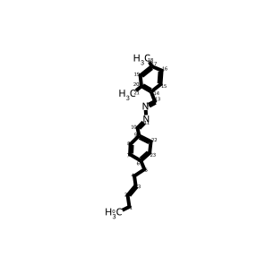 CC/C=C/CCc1ccc(C=NN=Cc2ccc(C)cc2C)cc1